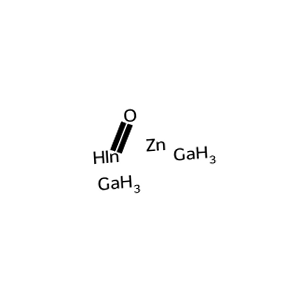 [GaH3].[GaH3].[O]=[InH].[Zn]